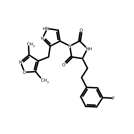 Cc1noc(C)c1Cc1n[nH]cc1N1C(=O)NC(CCc2cccc(F)c2)C1=O